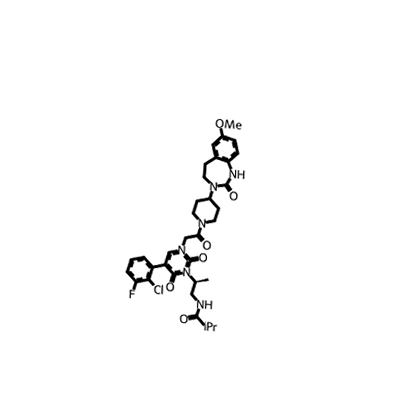 COc1ccc2c(c1)CCN(C1CCN(C(=O)Cn3cc(-c4cccc(F)c4Cl)c(=O)n([C@@H](C)CNC(=O)C(C)C)c3=O)CC1)C(=O)N2